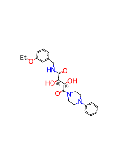 CCOc1cccc(CNC(=O)[C@H](O)[C@@H](O)C(=O)N2CCN(c3ccccc3)CC2)c1